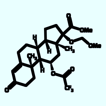 COCO[C@]1(C(=O)OC)CC[C@H]2[C@@H]3CCC4=CC(=O)CC[C@]4(C)[C@H]3[C@@H](OC(=O)C(F)(F)F)C[C@@]21C